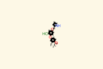 Cl.FC(F)(F)Oc1ccc(Oc2ccc(OC[C@H]3CCCN3)cc2)cc1